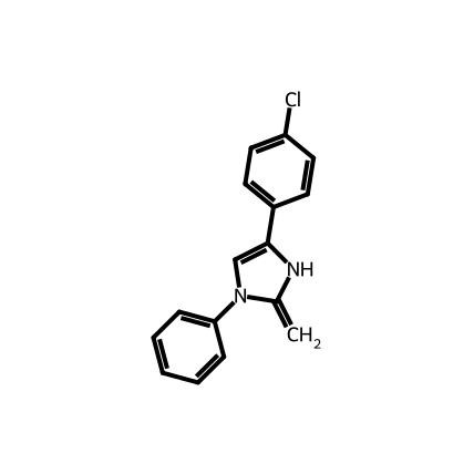 C=C1NC(c2ccc(Cl)cc2)=CN1c1ccccc1